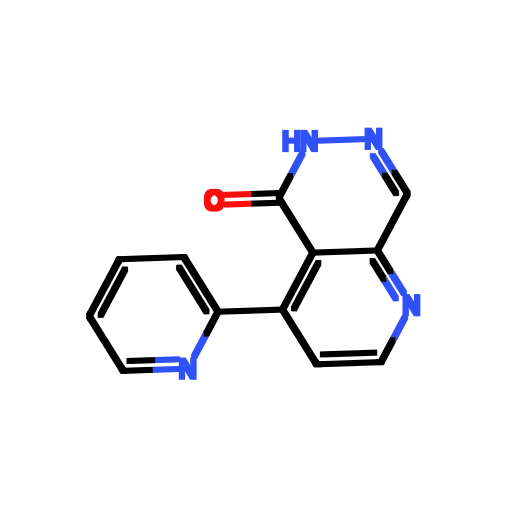 O=c1[nH]ncc2nccc(-c3ccccn3)c12